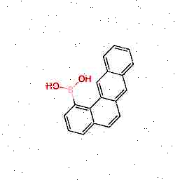 OB(O)c1cccc2ccc3cc4ccccc4cc3c12